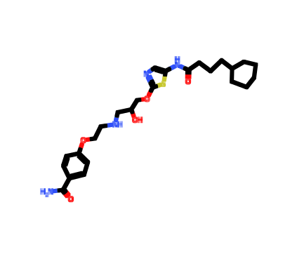 NC(=O)c1ccc(OCCNCC(O)COc2ncc(NC(=O)CCCC3CCCCC3)s2)cc1